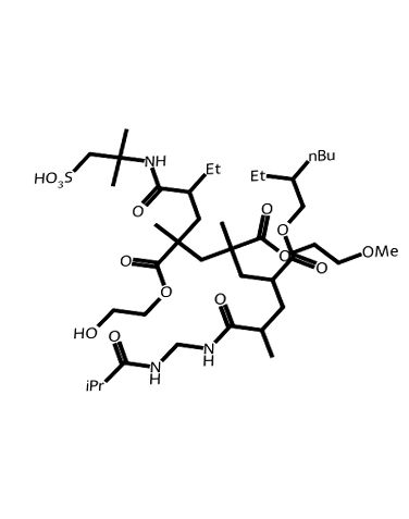 CCCCC(CC)COC(=O)C(CC(C)C(=O)NCNC(=O)C(C)C)CC(C)(CC(C)(CC(CC)C(=O)NC(C)(C)CS(=O)(=O)O)C(=O)OCCO)C(=O)OCCOC